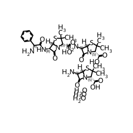 CC1(C)S[C@@H]2[C@H](N)C(=O)N2[C@H]1C(=O)O.CC1(C)S[C@@H]2[C@H](N)C(=O)N2[C@H]1C(=O)O.CC1(C)S[C@@H]2[C@H](NC(=O)[C@H](N)c3ccccc3)C(=O)N2[C@H]1C(=O)O.O.O.O